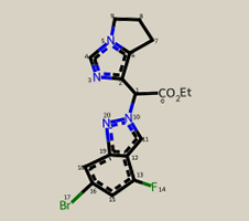 CCOC(=O)C(c1ncn2c1CCC2)n1cc2c(F)cc(Br)cc2n1